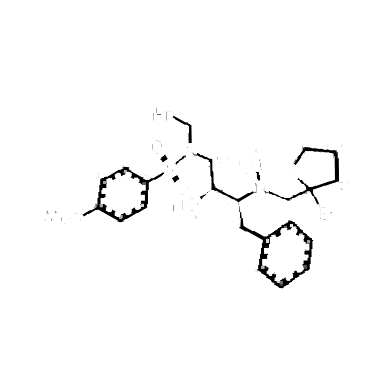 CCC1(CN(C(=O)O)[C@@H](Cc2ccccc2)[C@@H](O)CN(CC(C)C)S(=O)(=O)c2ccc(OC)cc2)CCCO1